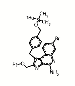 CCOCc1nc2c(N)nc3cc(Br)ccc3c2n1Cc1ccc(CO[Si](C)(C)C(C)(C)C)cc1